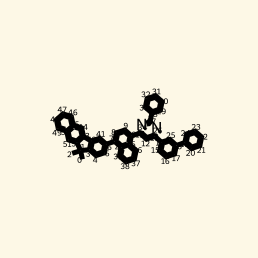 CC1(C)c2ccc(-c3ccc(-c4cc(-c5cccc(-c6ccccc6)c5)nc(-c5ccccc5)n4)c4ccccc34)cc2-c2cc3ccccc3cc21